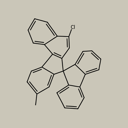 Cc1ccc2c(c1)C1(c3ccccc3-c3ccccc31)c1cc(Cl)c3ccccc3c1-2